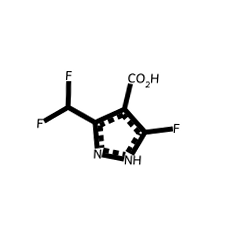 O=C(O)c1c(C(F)F)n[nH]c1F